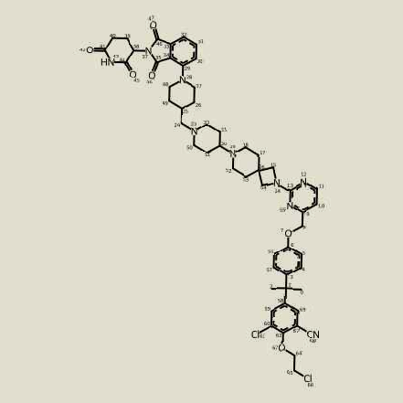 CC(C)(c1ccc(OCc2ccnc(N3CC4(CCN(C5CCN(CC6CCN(c7cccc8c7C(=O)N(C7CCC(=O)NC7=O)C8=O)CC6)CC5)CC4)C3)n2)cc1)c1cc(Cl)c(OCCCl)c(C#N)c1